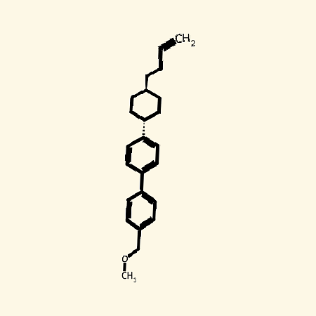 C=CCC[C@H]1CC[C@H](c2ccc(-c3ccc(COC)cc3)cc2)CC1